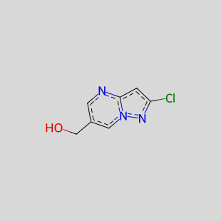 OCc1cnc2cc(Cl)nn2c1